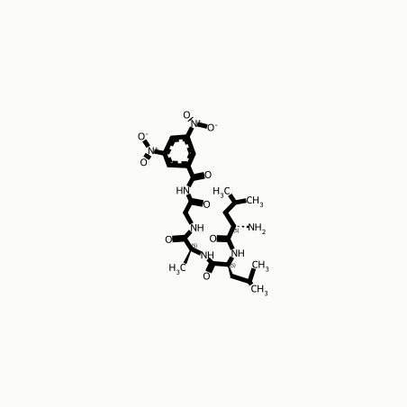 CC(C)C[C@H](NC(=O)[C@@H](N)CC(C)C)C(=O)N[C@@H](C)C(=O)NCC(=O)NC(=O)c1cc([N+](=O)[O-])cc([N+](=O)[O-])c1